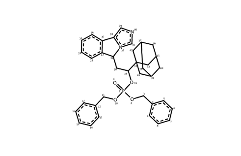 O=P(OCc1ccccc1)(OCc1ccccc1)OC(CC1c2ccccc2-c2cncn21)C12CC3CC(CC(C3)C1)C2